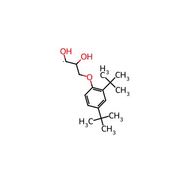 CC(C)(C)c1ccc(OCC(O)[CH]O)c(C(C)(C)C)c1